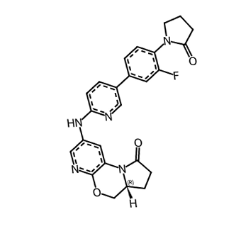 O=C1CCCN1c1ccc(-c2ccc(Nc3cnc4c(c3)N3C(=O)CC[C@@H]3CO4)nc2)cc1F